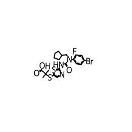 CC(C)(Sc1cnc(NC(=O)N(CC2CCCC2)c2ccc(Br)cc2F)s1)C(=O)O